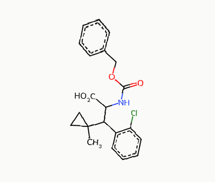 CC1(C(c2ccccc2Cl)C(NC(=O)OCc2ccccc2)C(=O)O)CC1